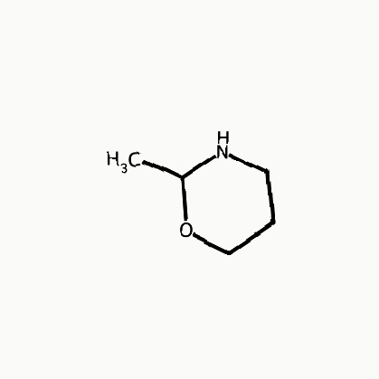 CC1NCCCO1